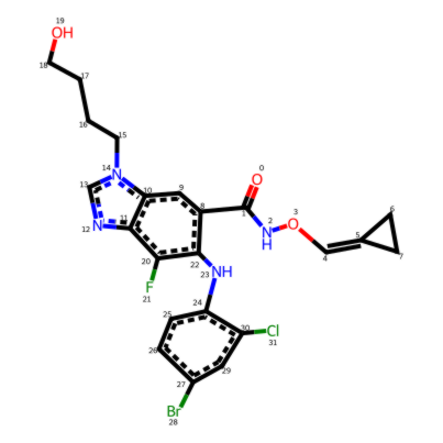 O=C(NOC=C1CC1)c1cc2c(ncn2CCCCO)c(F)c1Nc1ccc(Br)cc1Cl